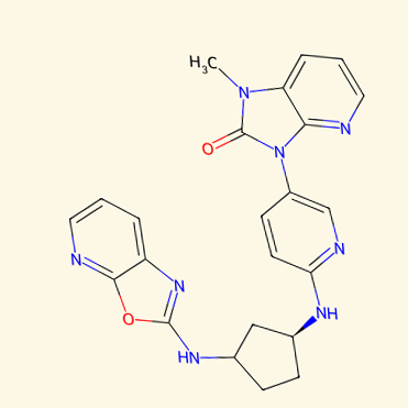 Cn1c(=O)n(-c2ccc(N[C@H]3CCC(Nc4nc5cccnc5o4)C3)nc2)c2ncccc21